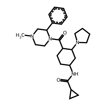 CN1CCN(C(=O)C2CCC(NC(=O)C3CC3)CC2N2CCCC2)C(c2ccccc2)C1